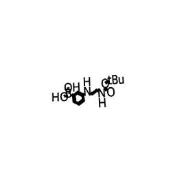 CC(C)(C)OC(=O)NCCNc1cccc(B(O)O)c1